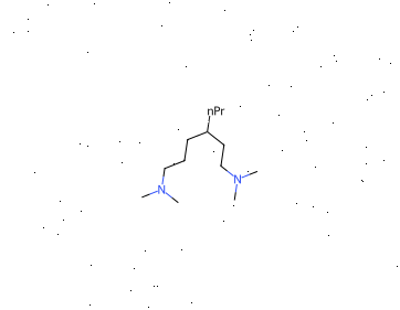 CCCC(CCCN(C)C)CCN(C)C